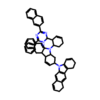 C1=Cc2cc3c(cc2CC1)c1c(n3C2C=CC3C4Cc5ccccc5C=C4N(C4CCC=CC4C4N=C(c5ccc6ccccc6c5)N=C(c5ccccc5)N4)C3C2)C=CCC1